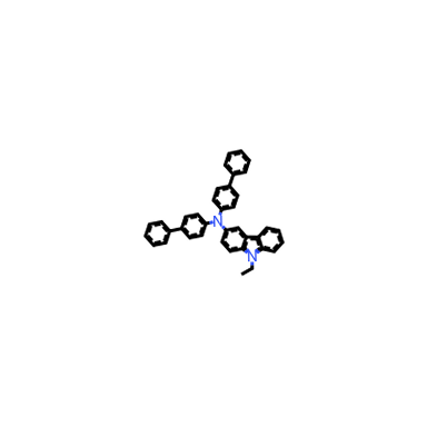 CCn1c2ccccc2c2cc(N(c3ccc(-c4ccccc4)cc3)c3ccc(-c4ccccc4)cc3)ccc21